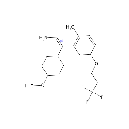 COC1CCC(/C(=C\N)c2cc(OCCC(F)(F)F)ccc2C)CC1